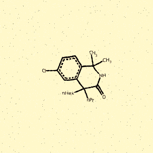 CCCCCCC1(CCC)C(=O)NC(C)(C)c2ccc(Cl)cc21